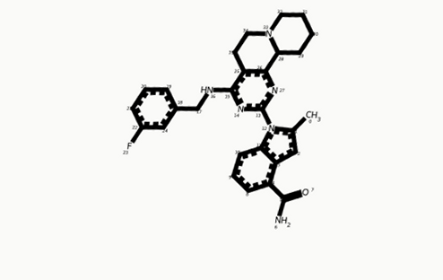 Cc1cc2c(C(N)=O)cccc2n1-c1nc(NCc2cccc(F)c2)c2c(n1)C1CCCCN1CC2